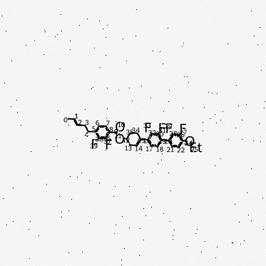 C/C=C/CCc1ccc(C(=O)OC2CC=C(c3ccc(-c4ccc(OCC)c(F)c4F)c(F)c3F)CC2)c(F)c1F